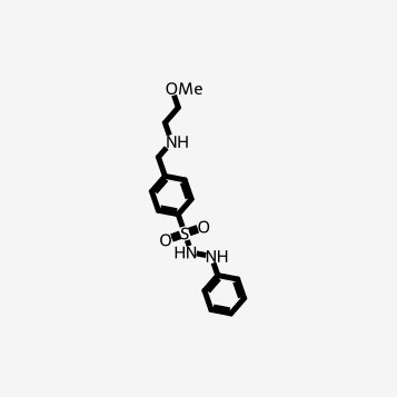 COCCNCc1ccc(S(=O)(=O)NNc2ccccc2)cc1